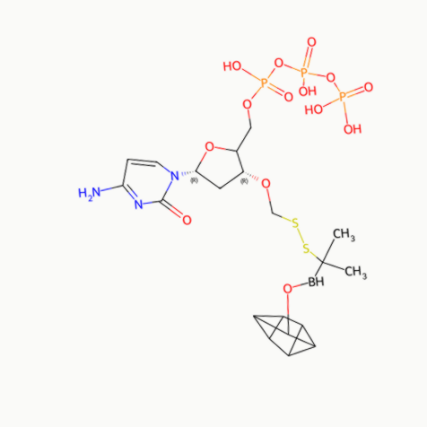 CC(C)(BOC1C2C3C2C2C1C32)SSCO[C@@H]1C[C@H](n2ccc(N)nc2=O)OC1COP(=O)(O)OP(=O)(O)OP(=O)(O)O